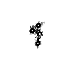 O=C(CN1CCC(CN2c3cc(Cl)ccc3Nc3ccccc3S2(=O)=O)CC1)c1ccc(F)cc1